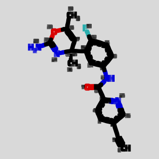 C#Cc1ccc(C(=O)Nc2ccc(F)c([C@]3(C)C=C(C)OC(N)=N3)c2)nc1